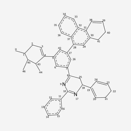 CC1CC=C(c2cc(C3=NC(c4ccccc4)=NC(C4=CCCC=C4)C3)cc(-c3cc4c(c5ccccc35)C=CCC4)c2)C(C)C1C